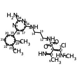 CN/C(Cl)=C(\C(C)=N)S(=O)(=O)NCCCNc1cc(-c2cccc(C)c2C)nc(N)n1